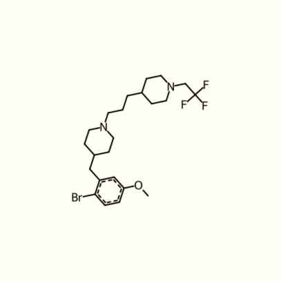 COc1ccc(Br)c(CC2CCN(CCCC3CCN(CC(F)(F)F)CC3)CC2)c1